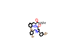 CNC(=O)C(Cc1cccc(Br)c1)NC(=O)c1cc(-c2cccc(Br)c2)nn1Cc1cccc(Br)c1